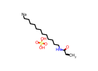 C=CC(=O)NCCCCCCCCCCC[CH2][Na].O=S(=O)(O)O